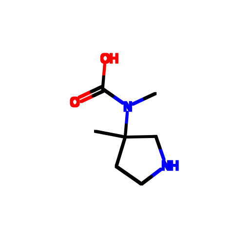 CN(C(=O)O)C1(C)CCNC1